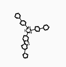 c1ccc(-c2ccc(-c3nc(-c4ccc(-c5ccccc5)cc4)nc(-c4ccc5c(c4)sc4cc(-c6ccccc6)ccc45)n3)cc2)cc1